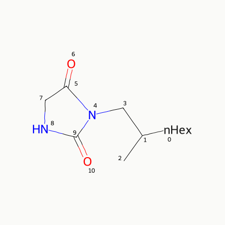 CCCCCCC(C)CN1C(=O)CNC1=O